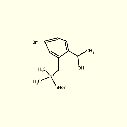 CCCCCCCCC[N+](C)(C)Cc1ccccc1C(C)O.[Br-]